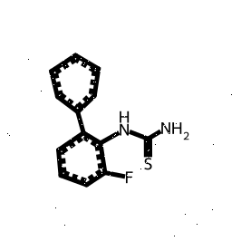 NC(=S)Nc1c(F)cccc1-c1ccccc1